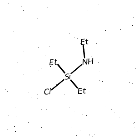 CCN[Si](Cl)(CC)CC